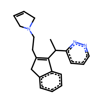 CC(C1=C(CCN2CC=CC2)Cc2ccccc21)c1cccnn1